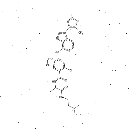 CC(NC(=O)c1ccc(Nc2nccn3c(-c4c[nH]nc4C(F)(F)F)cnc23)cc1Cl)C(=O)NCCN(C)C.O=CO